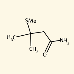 CSC(C)(C)CC(N)=O